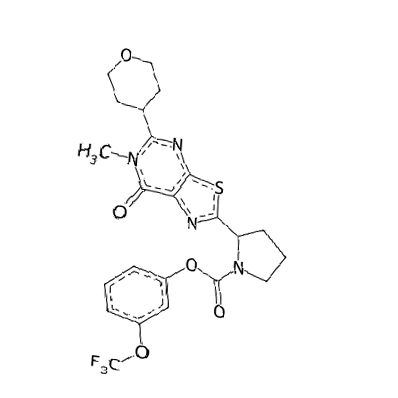 Cn1c(C2CCOCC2)nc2sc(C3CCCN3C(=O)Oc3cccc(OC(F)(F)F)c3)nc2c1=O